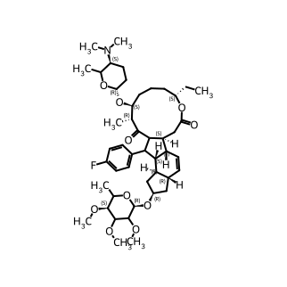 CC[C@H]1CCC[C@H](O[C@H]2CC[C@H](N(C)C)C(C)O2)[C@@H](C)C(=O)C2C(c3ccc(F)cc3)[C@@H]3[C@@H](C=C[C@@H]4C[C@@H](O[C@@H]5OC(C)[C@H](OC)C(OC)C5OC)C[C@@H]34)[C@@H]2CC(=O)O1